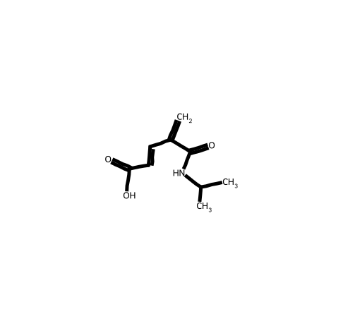 C=C(C=CC(=O)O)C(=O)NC(C)C